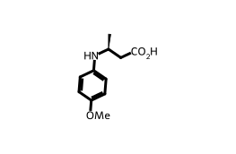 COc1ccc(N[C@@H](C)CC(=O)O)cc1